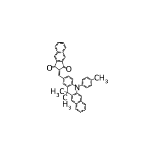 Cc1ccc(N2c3ccc(C=C4C(=O)c5cc6ccccc6cc5C4=O)cc3C(C)(C)c3cc4ccccc4cc32)cc1